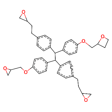 c1cc(C(c2ccc(OCC3CCO3)cc2)C(c2ccc(CCC3CO3)cc2)c2ccc(OCC3CO3)cc2)ccc1CCC1CO1